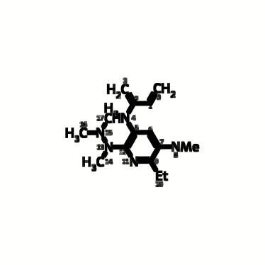 C=CC(=C)Nc1cc(NC)c(CC)nc1N(C)N(C)C